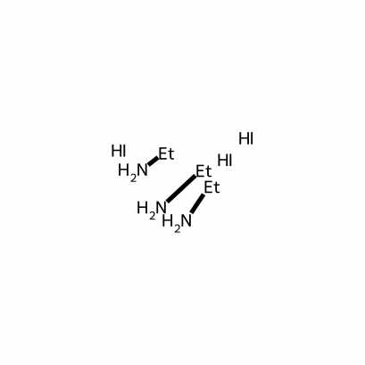 CCN.CCN.CCN.I.I.I